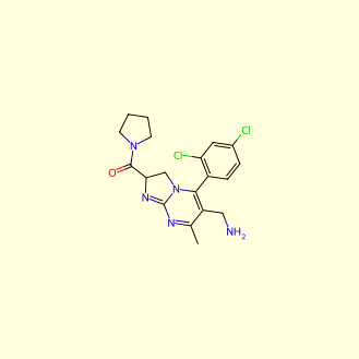 CC1=NC2=NC(C(=O)N3CCCC3)CN2C(c2ccc(Cl)cc2Cl)=C1CN